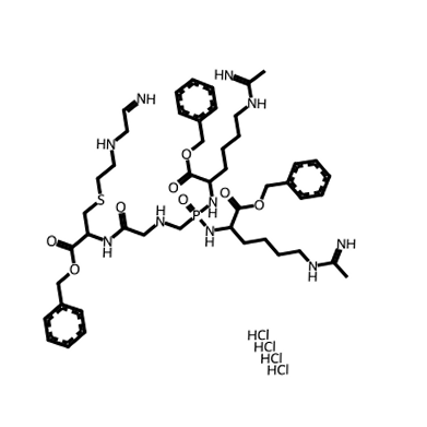 CC(=N)NCCCCC(NP(=O)(CNCC(=O)NC(CSCCNCC=N)C(=O)OCc1ccccc1)NC(CCCCNC(C)=N)C(=O)OCc1ccccc1)C(=O)OCc1ccccc1.Cl.Cl.Cl.Cl